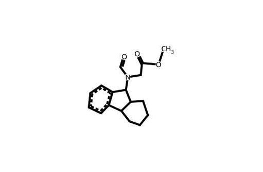 COC(=O)CN(C=O)C1c2ccccc2C2CCCCC21